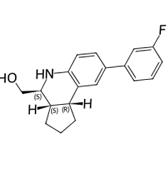 OC[C@H]1Nc2ccc(-c3cccc(F)c3)cc2[C@@H]2CCC[C@H]12